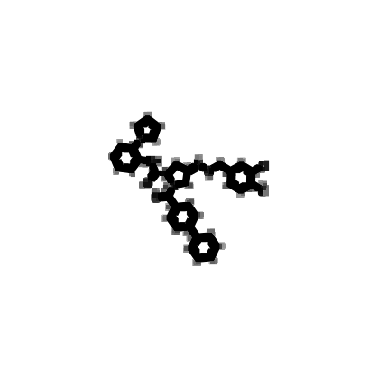 O=C(Nc1ccccc1-n1cccc1)[C@@H]1CC(=NOCc2ccc(Cl)c(Cl)c2)CN1C(=O)c1ccc(-c2ccccc2)cc1